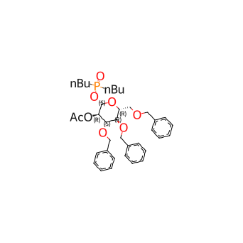 CCCCP(=O)(CCCC)O[C@@H]1O[C@H](COCc2ccccc2)[C@@H](OCc2ccccc2)[C@H](OCc2ccccc2)[C@H]1OC(C)=O